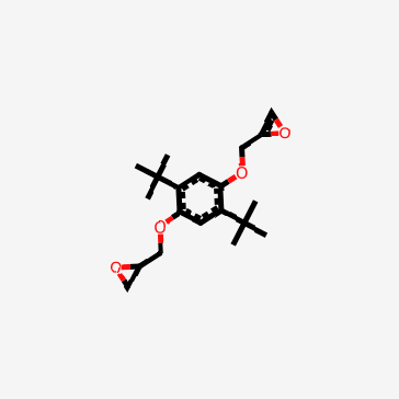 CC(C)(C)c1cc(OCC2CO2)c(C(C)(C)C)cc1OCC1=CO1